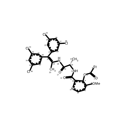 CCC(=O)Oc1c(OC)ccnc1C(=O)N[C@@H](C)C(=O)NC(C)=C(c1cc(Cl)cc(Cl)c1)c1cc(Cl)cc(Cl)c1